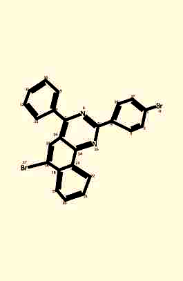 Brc1ccc(-c2nc(-c3ccccc3)c3cc(Br)c4ccccc4c3n2)cc1